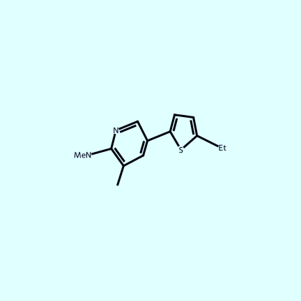 CCc1ccc(-c2cnc(NC)c(C)c2)s1